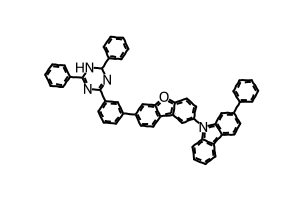 c1ccc(C2=NC(c3cccc(-c4ccc5c(c4)oc4ccc(-n6c7ccccc7c7ccc(-c8ccccc8)cc76)cc45)c3)=NC(c3ccccc3)N2)cc1